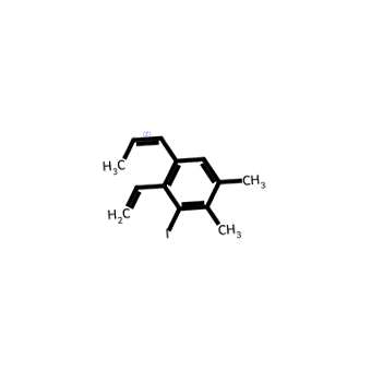 C=Cc1c(/C=C\C)cc(C)c(C)c1I